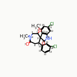 COC1CN(C)C(=O)CC(c2cccc(Cl)c2)C12C(=O)Nc1cc(Cl)ccc12